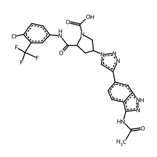 CC(=O)Nc1n[nH]c2cc(-c3cn(C4CC(C(=O)Nc5ccc(Cl)c(C(F)(F)F)c5)N(C(=O)O)C4)nn3)ccc12